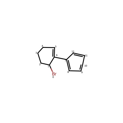 BrC1CCCC=C1c1ccccc1